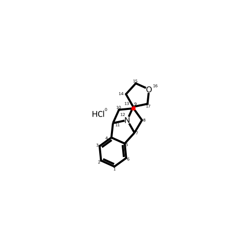 Cl.c1ccc2c(c1)C1CCCC2N1C1CCOC1